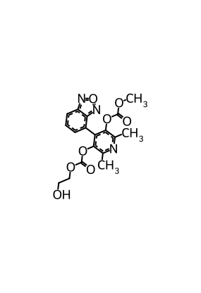 COC(=O)Oc1c(C)nc(C)c(OC(=O)OCCO)c1-c1cccc2nonc12